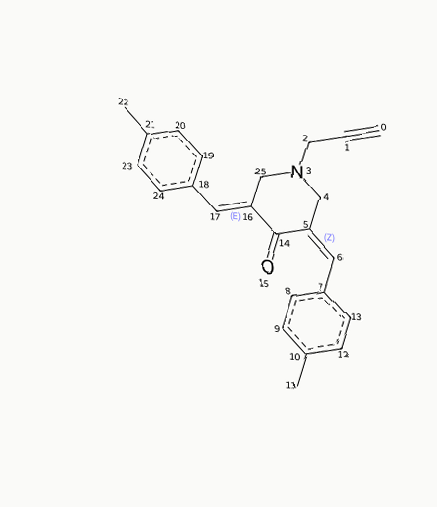 C#CCN1C/C(=C/c2ccc(C)cc2)C(=O)/C(=C/c2ccc(C)cc2)C1